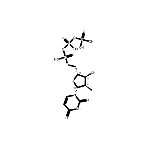 C[C@@H]1[C@H](O)[C@@H](COP(=O)(O)OP(=O)(O)OP(=O)(O)O)O[C@H]1n1ccc(=O)[nH]c1=O